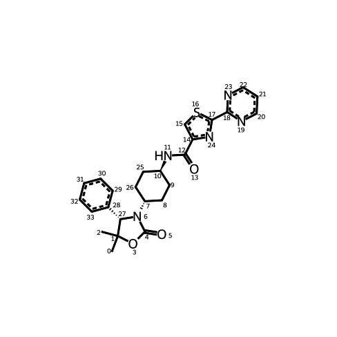 CC1(C)OC(=O)N([C@H]2CC[C@H](NC(=O)c3csc(-c4ncccn4)n3)CC2)[C@H]1c1ccccc1